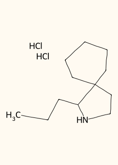 CCCC1NCCC12CCCCC2.Cl.Cl